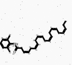 CC/C=C\C/C=C\C/C=C\C/C=C\C/C=C\C/C=C\CC(=O)Nc1c(C)cccc1C